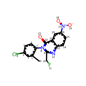 Cc1cc(Cl)ccc1-n1c(CF)nc2ccc([N+](=O)[O-])cc2c1=O